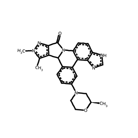 Cc1c2c(nn1C)C(=O)N1c3ccc4[nH]cnc4c3-c3cc(N4CCO[C@H](C)C4)ccc3C21